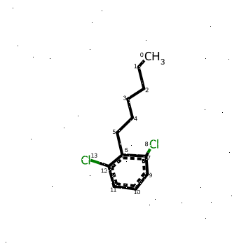 CCCCCCc1c(Cl)cccc1Cl